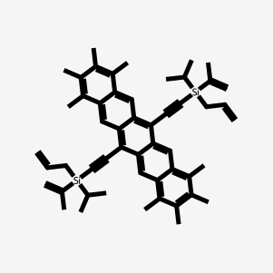 C=CC[Si](C#Cc1c2cc3c(C)c(C)c(C)c(C)c3cc2c(C#C[Si](CC=C)(C(=C)C)C(C)C)c2cc3c(C)c(C)c(C)c(C)c3cc12)(C(=C)C)C(C)C